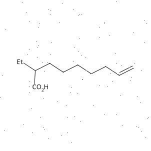 C=CCCCCCC(CC)C(=O)O